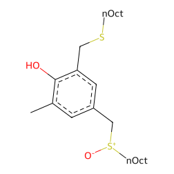 CCCCCCCCSCc1cc(C[S+]([O-])CCCCCCCC)cc(C)c1O